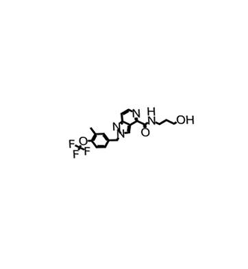 Cc1cc(Cn2cc3c(C(=O)NCCCO)nccc3n2)ccc1OC(F)(F)F